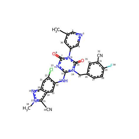 Cc1cncc(-n2c(=O)nc(Nc3cc4c(C#N)n(C)nc4cc3Cl)n(Cc3ccc(F)c(C#N)c3)c2=O)c1